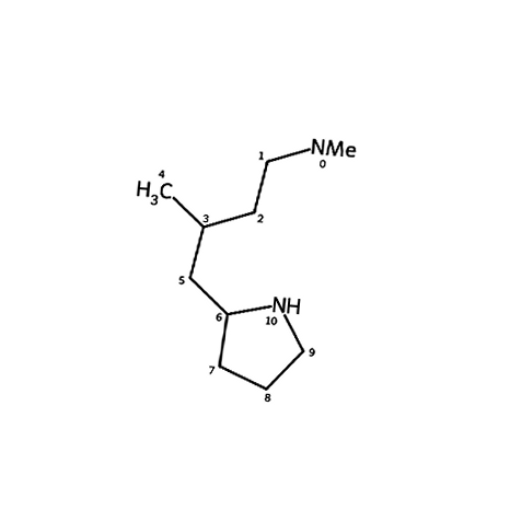 CNCCC(C)CC1CCCN1